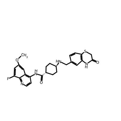 COc1cc(F)c2nccc(NC(=O)[C@H]3CC[C@H](NCc4ccc5c(c4)NC(=O)CS5)CC3)c2c1